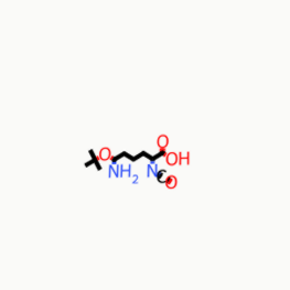 CC(C)(C)OC(N)CCCC(N=C=O)C(=O)O